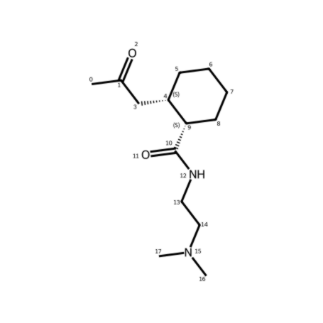 CC(=O)C[C@@H]1CCCC[C@@H]1C(=O)NCCN(C)C